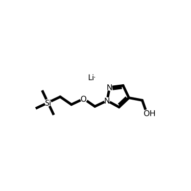 C[Si](C)(C)CCOCn1cc(CO)cn1.[Li]